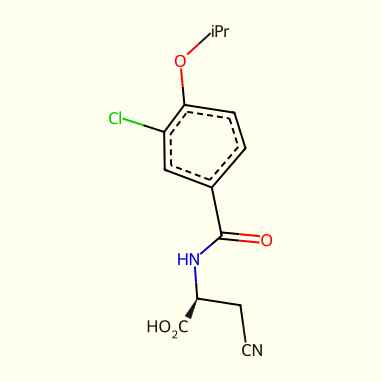 CC(C)Oc1ccc(C(=O)N[C@@H](CC#N)C(=O)O)cc1Cl